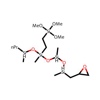 CCC[SiH](C)O[Si](C)(CC[Si](OC)(OC)OC)O[SiH](C)O[SiH](C)CC1CO1